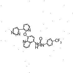 O=C(Nc1ccc(C(F)(F)F)cc1)Nc1ccc(Oc2ncccc2-c2ccncn2)c2ncccc12